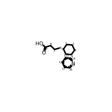 C1CCCCC1.CCCC(=O)O.c1ccncc1